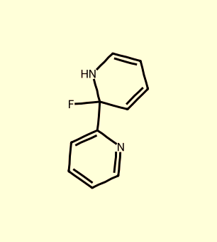 FC1(c2ccccn2)C=CC=CN1